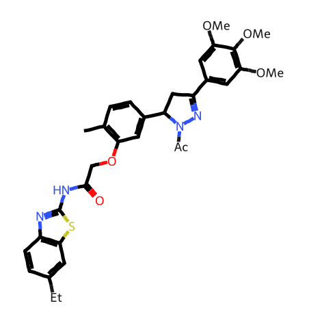 CCc1ccc2nc(NC(=O)COc3cc(C4CC(c5cc(OC)c(OC)c(OC)c5)=NN4C(C)=O)ccc3C)sc2c1